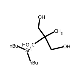 CC(CO)(CO)C(=O)O.CCC[CH2][Sn][CH2]CCC